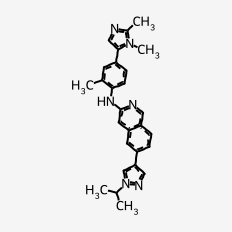 Cc1cc(-c2cnc(C)n2C)ccc1Nc1cc2cc(-c3cnn(C(C)C)c3)ccc2cn1